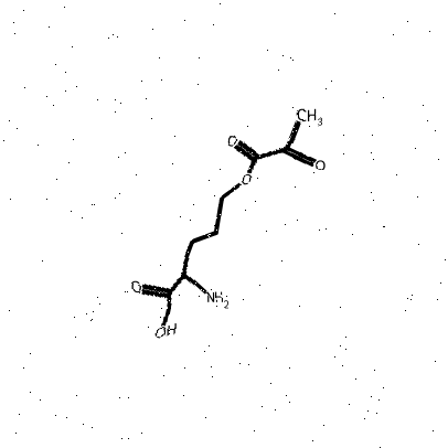 CC(=O)C(=O)OCCCC(N)C(=O)O